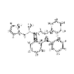 O=C(Cc1cccs1)NC=C(c1ccccc1)N(c1ccccc1)c1ccccc1